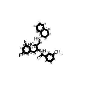 Cc1cccc(C(=O)NC(Cc2cc(F)cc(F)c2)C(O)CN[C@H]2CCCc3ccccc32)c1